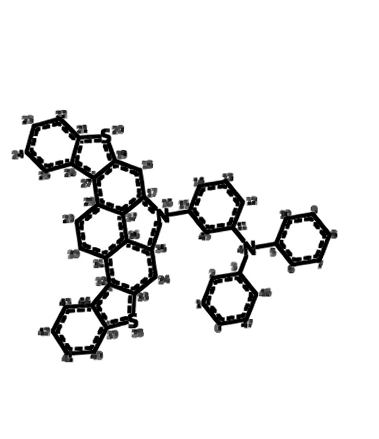 c1ccc(N(c2ccccc2)c2cccc(-n3c4cc5sc6ccccc6c5c5ccc6c7c(cc3c6c54)sc3ccccc37)c2)cc1